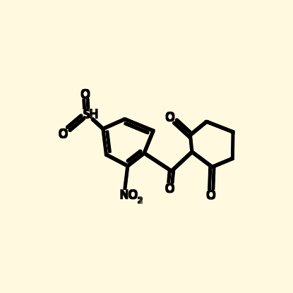 O=C1CCCC(=O)C1C(=O)c1ccc([SH](=O)=O)cc1[N+](=O)[O-]